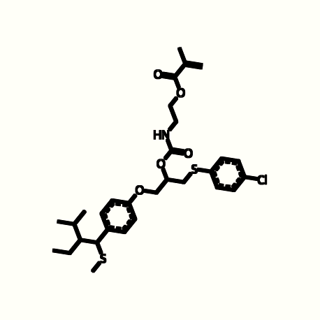 C=C(C)C(=O)OCCNC(=O)OC(COc1ccc(C(SC)C(CC)C(C)C)cc1)CSc1ccc(Cl)cc1